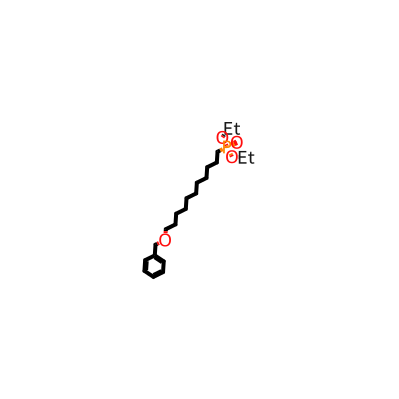 CCOP(=O)(CCCCCCCCCCCOCc1ccccc1)OCC